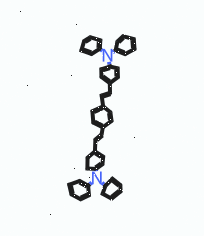 C1=CCC(N(C2=CC=C(/C=C/c3ccc(/C=C/c4ccc(N(c5ccccc5)c5ccccc5)cc4)cc3)CC2)c2ccccc2)C=C1